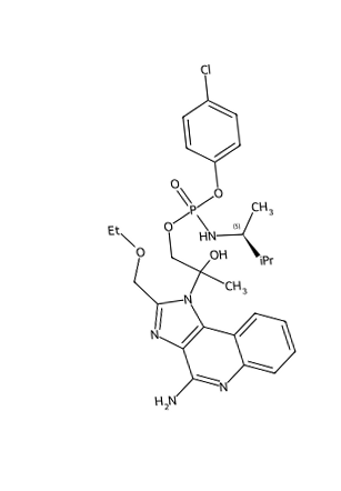 CCOCc1nc2c(N)nc3ccccc3c2n1C(C)(O)COP(=O)(N[C@@H](C)C(C)C)Oc1ccc(Cl)cc1